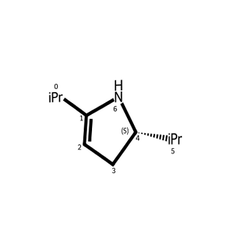 CC(C)C1=CC[C@@H](C(C)C)N1